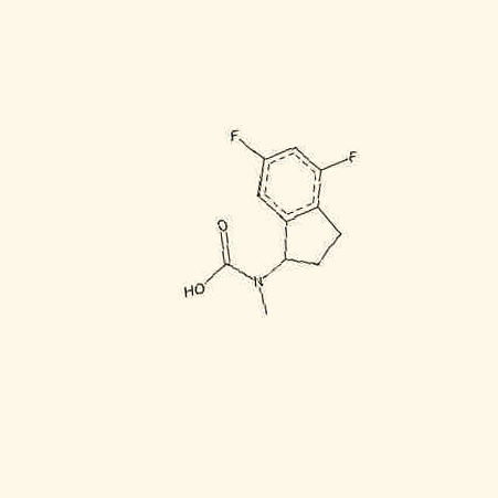 CN(C(=O)O)C1CCc2c(F)cc(F)cc21